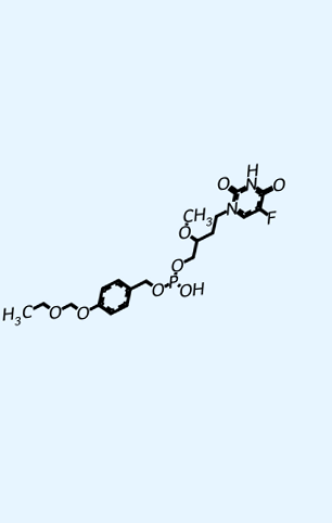 CCOCOc1ccc(COP(O)OCC(CCn2cc(F)c(=O)[nH]c2=O)OC)cc1